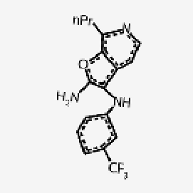 CCCc1nccc2c(Nc3cccc(C(F)(F)F)c3)c(N)oc12